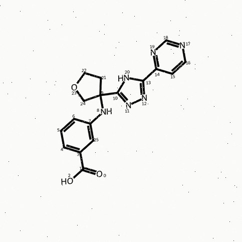 O=C(O)c1cccc(NC2(c3nnc(-c4ccncn4)[nH]3)CCOC2)c1